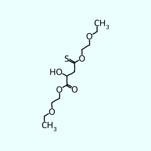 CCOCCOC(=O)C(O)CC(=S)OCCOCC